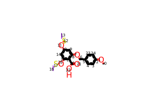 COc1ccc(COc2cc(OSI)cc(OSI)c2C(=O)O)cc1